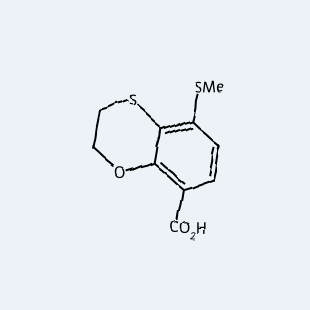 CSc1ccc(C(=O)O)c2c1SCCO2